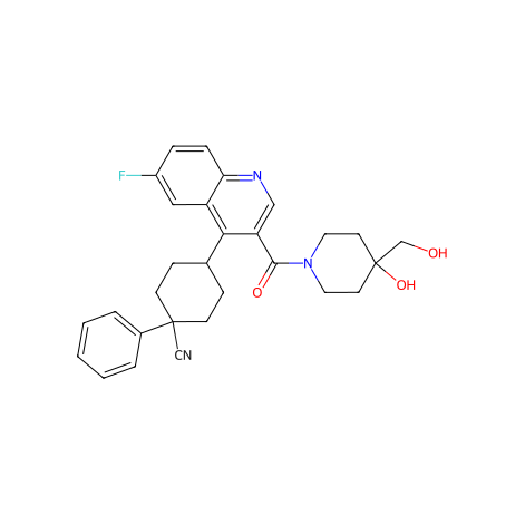 N#CC1(c2ccccc2)CCC(c2c(C(=O)N3CCC(O)(CO)CC3)cnc3ccc(F)cc23)CC1